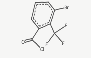 O=C(Cl)c1cccc(Br)c1C(F)(F)F